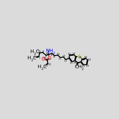 C=CC(=C)CCC(N)(CCCCCCc1ccc2c(c1)C(=C)c1ccccc1S2)OC(=O)C=C